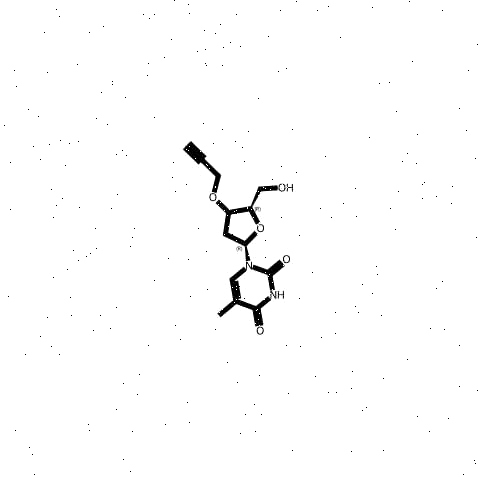 C#CCOC1C[C@H](n2cc(C)c(=O)[nH]c2=O)O[C@@H]1CO